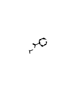 CCC(OC(=O)c1ccncc1)C(=O)O